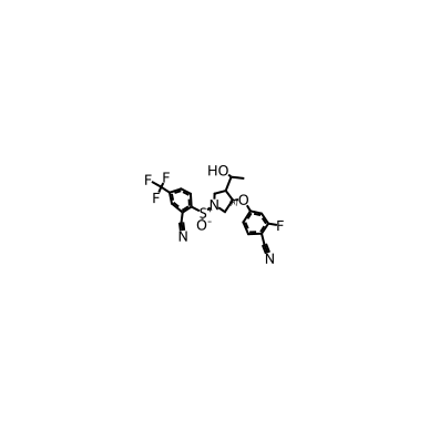 CC(O)C1CN([S+]([O-])c2ccc(C(F)(F)F)cc2C#N)C[C@@H]1Oc1ccc(C#N)c(F)c1